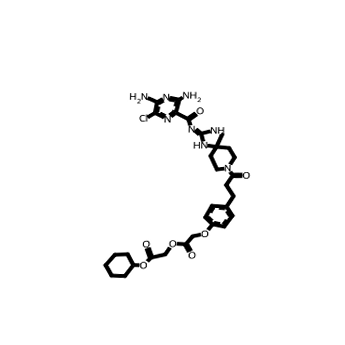 Nc1nc(N)c(C(=O)N=C2NCC3(CCN(C(=O)CCc4ccc(OCC(=O)OCC(=O)OC5CCCCC5)cc4)CC3)N2)nc1Cl